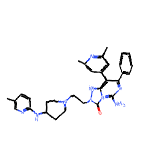 Cc1ccc(NC2CCN(CCn3[nH]c4c(-c5cc(C)nc(C)c5)c(-c5ccccc5)nc(N)[n+]4c3=O)CC2)nc1